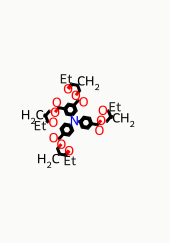 C=C(COC(=O)c1ccc(N(c2ccc(C(=O)OCC(=C)C(=O)CC)cc2)c2cc(C(=O)OCC(=C)C(=O)CC)cc(C(=O)OCC(=C)C(=O)CC)c2)cc1)C(=O)CC